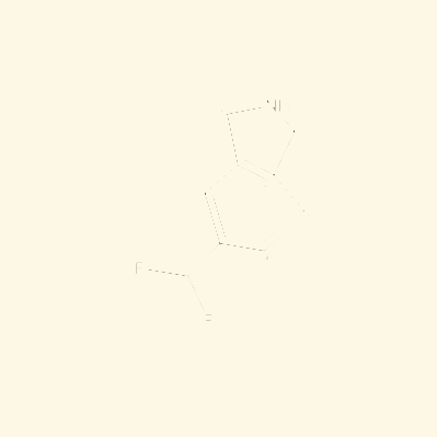 FC(F)c1ccc2c(c1)CNC2